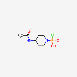 O=C(NC1CCN(P(=O)(O)Cl)CC1)C(F)(F)F